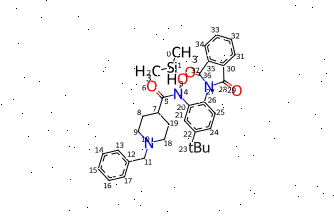 C[SiH](C)ON(C(=O)C1CCN(Cc2ccccc2)CC1)c1cc(C(C)(C)C)ccc1N1C(=O)c2ccccc2C1=O